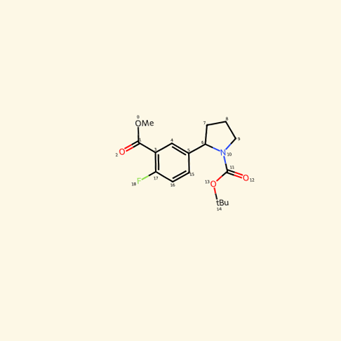 COC(=O)c1cc(C2CCCN2C(=O)OC(C)(C)C)ccc1F